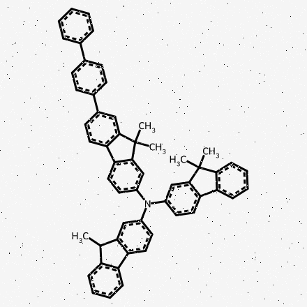 CC1c2ccccc2-c2ccc(N(c3ccc4c(c3)C(C)(C)c3ccccc3-4)c3ccc4c(c3)C(C)(C)c3cc(-c5ccc(-c6ccccc6)cc5)ccc3-4)cc21